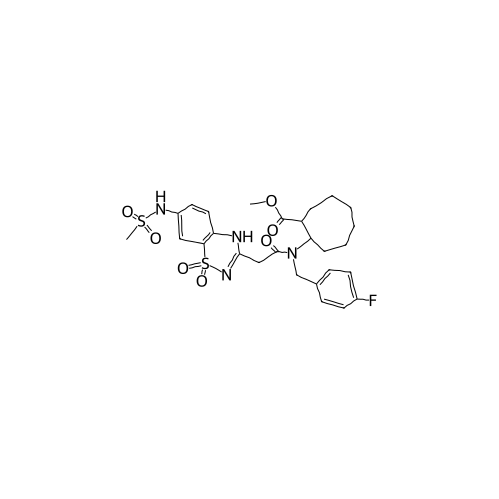 COC(=O)C1CCCCCCC1N(Cc1ccc(F)cc1)C(=O)CC1=NS(=O)(=O)c2cc(NS(C)(=O)=O)ccc2N1